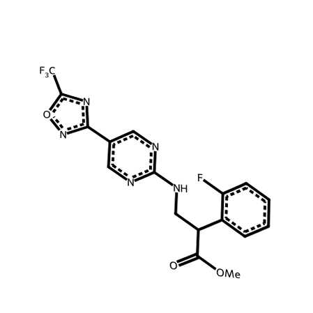 COC(=O)C(CNc1ncc(-c2noc(C(F)(F)F)n2)cn1)c1ccccc1F